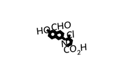 O=Cc1c(O)ccc2cc(-c3nc(C(=O)O)ccc3Cl)ccc12